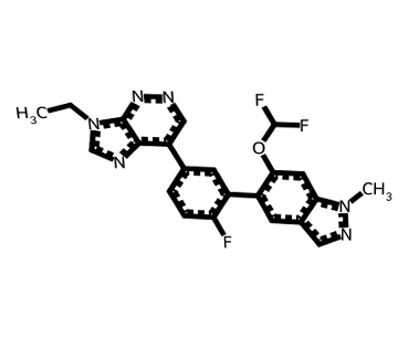 CCn1cnc2c(-c3ccc(F)c(-c4cc5cnn(C)c5cc4OC(F)F)c3)cnnc21